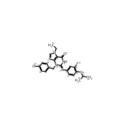 CCn1cnc2c1c(=O)[nH]/c(=N\c1ccc(OC(C)C)c(F)c1)n2Cc1ccc(Cl)cc1